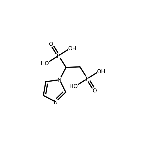 O=P(O)(O)CC(n1ccnc1)P(=O)(O)O